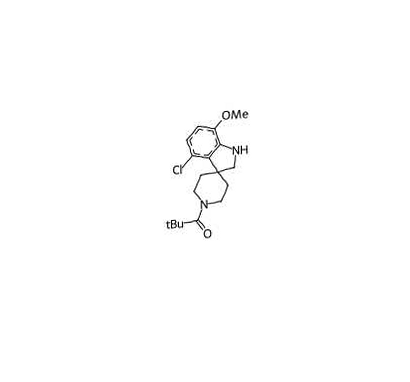 COc1ccc(Cl)c2c1NCC21CCN(C(=O)C(C)(C)C)CC1